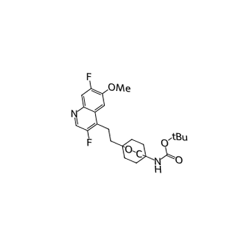 COc1cc2c(CCC34CCC(NC(=O)OC(C)(C)C)(CC3)CO4)c(F)cnc2cc1F